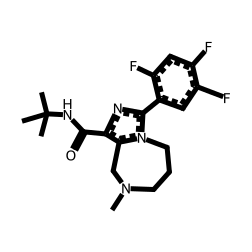 CN1CCCn2c(-c3cc(F)c(F)cc3F)nc(C(=O)NC(C)(C)C)c2C1